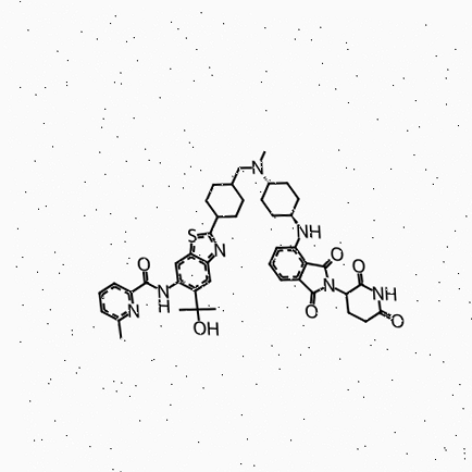 Cc1cccc(C(=O)Nc2cc3sc(C4CCC(CN(C)[C@H]5CC[C@H](Nc6cccc7c6C(=O)N(C6CCC(=O)NC6=O)C7=O)CC5)CC4)nc3cc2C(C)(C)O)n1